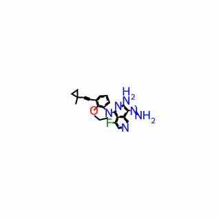 CN(N)c1c(N)nc(N2CCCOc3c(C#CC4(C)CC4)cccc32)c2c(F)cncc12